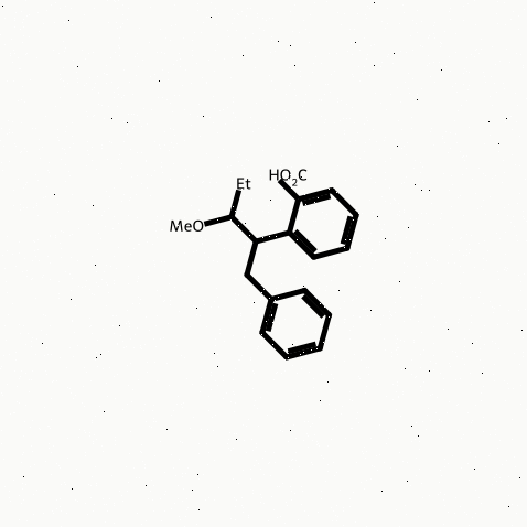 CCC(OC)C(Cc1ccccc1)c1ccccc1C(=O)O